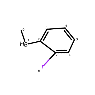 CBc1ccccc1I